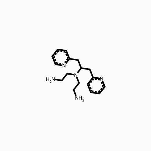 NCCN(CCN)C(Cc1ccccn1)Cc1ccccn1